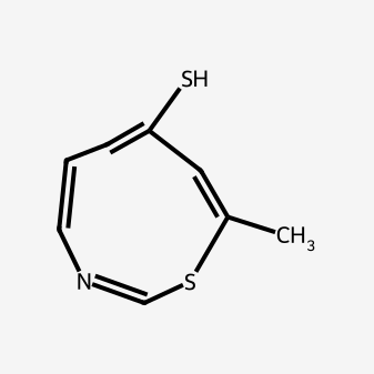 Cc1cc(S)cccncs1